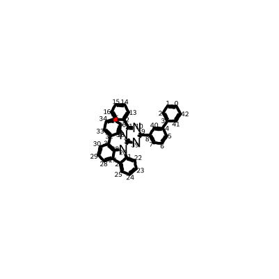 c1ccc(-c2cccc(-c3nc(-c4ccccc4)nc(-n4c5ccccc5c5cccc(-c6ccccc6)c54)n3)c2)cc1